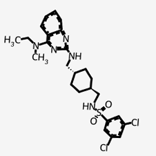 CCN(C)c1nc(NC[C@H]2CC[C@H](CNS(=O)(=O)c3cc(Cl)cc(Cl)c3)CC2)nc2ccccc12